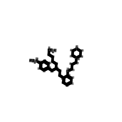 O=C(O)CCCCC(CCc1ccccc1OCCCN1CCOCC1)Cc1ccc(C(=O)O)cc1